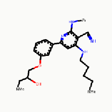 CNCCCCNc1cc(-c2cccc(OCC(O)CNC)c2)nc(NC(C)C)c1C=N